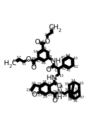 C=CCOC(=O)c1cc(NC(=O)C(CNC(=O)c2cc3ccoc3cc2C(=O)NCC23CC4CC(CC(C4)C2)C3)c2ccccc2)cc(C(=O)OCC=C)c1